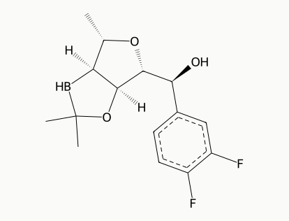 C[C@@H]1O[C@H]([C@@H](O)c2ccc(F)c(F)c2)[C@H]2OC(C)(C)B[C@H]21